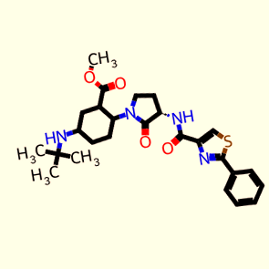 COC(=O)C1CC(NC(C)(C)C)CCC1N1CC[C@H](NC(=O)c2csc(-c3ccccc3)n2)C1=O